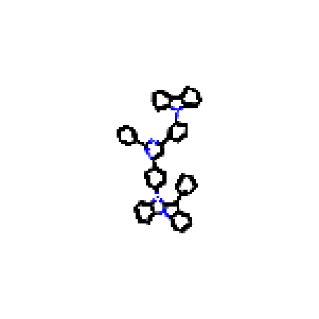 c1ccc(-c2nc(-c3ccc(-n4c5ccccc5n5c6ccccc6c(-c6ccccc6)c45)cc3)cc(-c3cccc(-n4c5ccccc5c5ccccc54)c3)n2)cc1